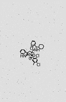 Cc1cc(S(=O)(=O)NC(C)(Cc2c[nH]c3ccccc23)C(=O)NC(c2ccccn2)C2CCCCC2)c(Cl)cc1Cl